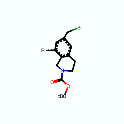 CCc1cc(CBr)cc2c1CN(C(=O)OC(C)(C)C)CC2